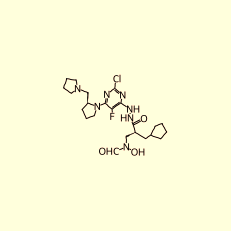 O=CN(O)C[C@H](CC1CCCC1)C(=O)NNc1nc(Cl)nc(N2CCC[C@H]2CN2CCCC2)c1F